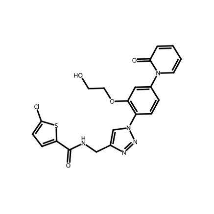 O=C(NCc1cn(-c2ccc(-n3ccccc3=O)cc2OCCO)nn1)c1ccc(Cl)s1